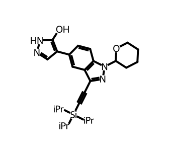 CC(C)[Si](C#Cc1nn(C2CCCCO2)c2ccc(-c3cn[nH]c3O)cc12)(C(C)C)C(C)C